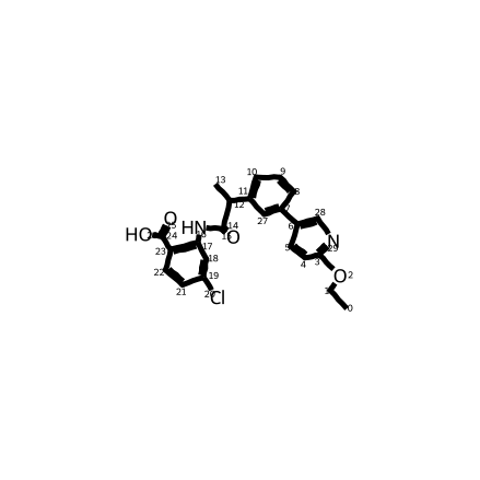 CCOc1ccc(-c2cccc(C(C)C(=O)Nc3cc(Cl)ccc3C(=O)O)c2)cn1